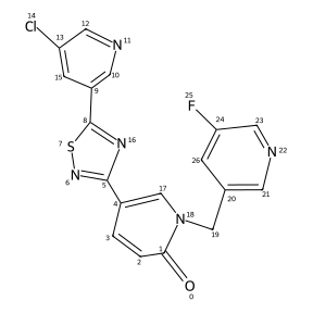 O=c1ccc(-c2nsc(-c3cncc(Cl)c3)n2)cn1Cc1cncc(F)c1